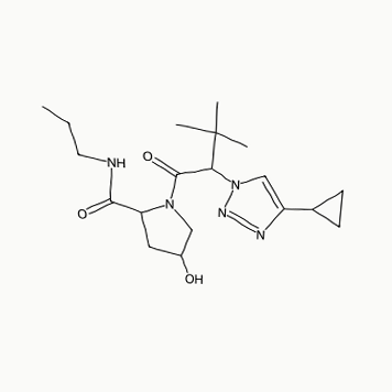 CCCNC(=O)C1CC(O)CN1C(=O)C(n1cc(C2CC2)nn1)C(C)(C)C